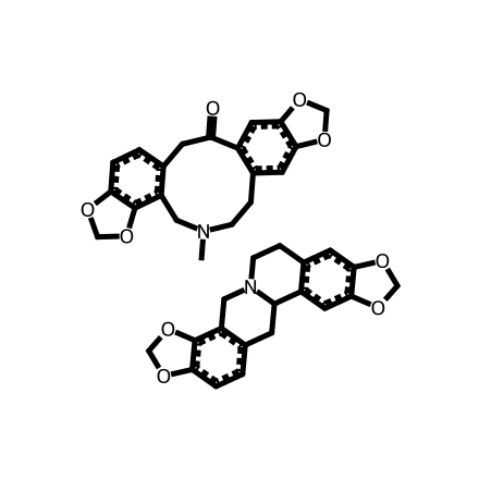 CN1CCc2cc3c(cc2C(=O)Cc2ccc4c(c2C1)OCO4)OCO3.c1cc2c(c3c1CC1c4cc5c(cc4CCN1C3)OCO5)OCO2